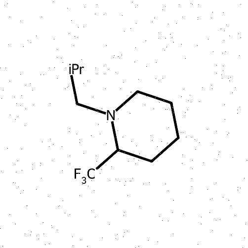 CC(C)CN1CCCCC1C(F)(F)F